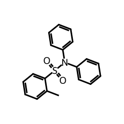 Cc1ccccc1S(=O)(=O)N(c1ccccc1)c1ccccc1